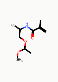 C=C(C)C(=O)NC(CC)COC(C)O[SiH3]